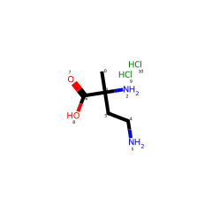 CC(N)(CCN)C(=O)O.Cl.Cl